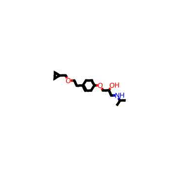 CC(C)NCC(O)COC1CC=C(CCOCC2CC2)CC1